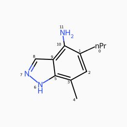 CCCc1cc(C)c2[nH]ncc2c1N